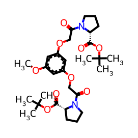 COc1cc(OCC(=O)N2CCC[C@@H]2C(=O)OC(C)(C)C)cc(OCC(=O)N2CCC[C@@H]2C(=O)OC(C)(C)C)c1